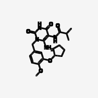 COc1ccc(Cn2c(N)c(NC(=O)C(C)C)c(=O)[nH]c2=O)cc1OC1CCCC1